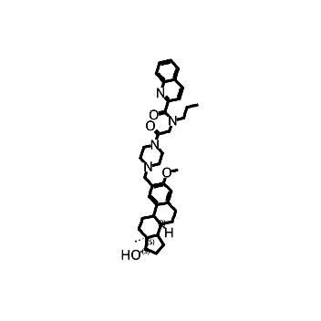 CCCN(CC(=O)N1CCN(Cc2cc3c(cc2OC)CC[C@@H]2C3CC[C@@]3(C)C2CC[C@@H]3O)CC1)C(=O)c1ccc2ccccc2n1